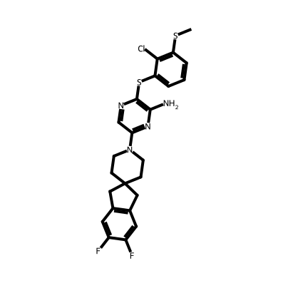 CSc1cccc(Sc2ncc(N3CCC4(CC3)Cc3cc(F)c(F)cc3C4)nc2N)c1Cl